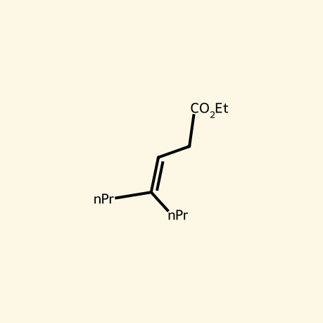 CCCC(=CCC(=O)OCC)CCC